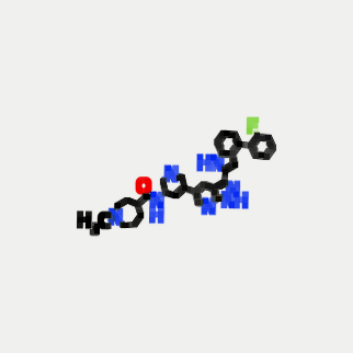 CN1CCCC(C(=O)N[C@H]2C=C(c3cnc4[nH]nc(-c5cc6c(-c7ccccc7F)cccc6[nH]5)c4c3)C=NC2)CC1